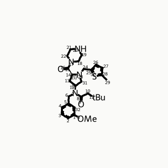 COc1cccc(CN(C(=O)CC(C)(C)C)[C@H]2C[C@@H](C(=O)N3CCNCC3)N(Cc3ccc(C)s3)C2)c1